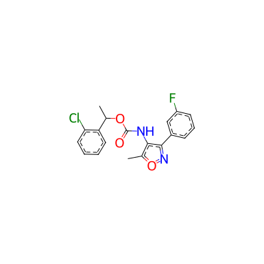 Cc1onc(-c2cccc(F)c2)c1NC(=O)OC(C)c1ccccc1Cl